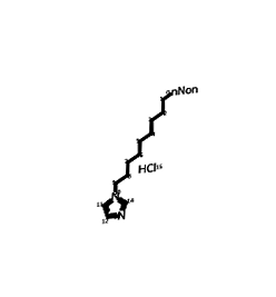 CCCCCCCCCCCCCCCCCCn1ccnc1.Cl